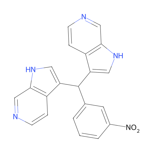 O=[N+]([O-])c1cccc(C(c2c[nH]c3cnccc23)c2c[nH]c3cnccc23)c1